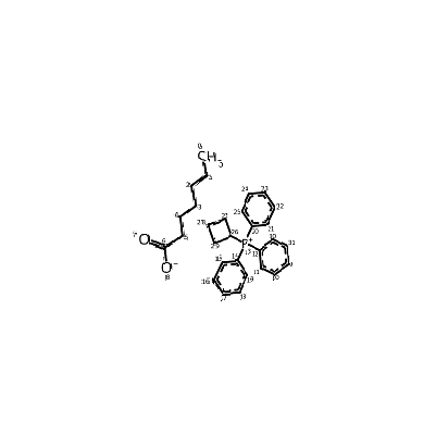 CCCCCCC(=O)[O-].c1ccc([P+](c2ccccc2)(c2ccccc2)C2CCC2)cc1